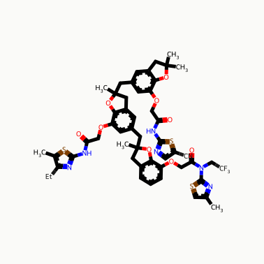 CCc1nc(NC(=O)COc2cc(CC3(C)Cc4cccc(OCC(=O)N(CC(F)(F)F)c5nc(C)cs5)c4O3)cc3c2OC(C)(Cc2cc4c(c(OCC(=O)Nc5ncc(C#N)s5)c2)OC(C)(C)C4)C3)sc1C